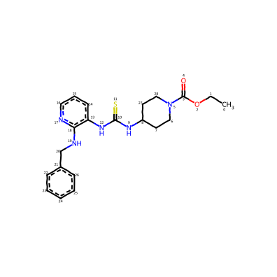 CCOC(=O)N1CCC(NC(=S)Nc2cccnc2NCc2ccccc2)CC1